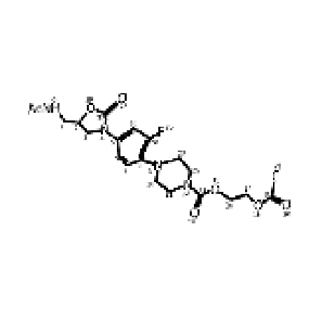 CC(=O)NCC1CN(c2ccc(N3CCN(C(=O)OCCOC(=O)Cl)CC3)c(F)c2)C(=O)O1